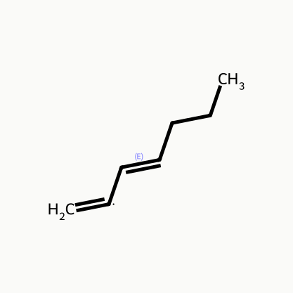 C=[C]/C=C/CCC